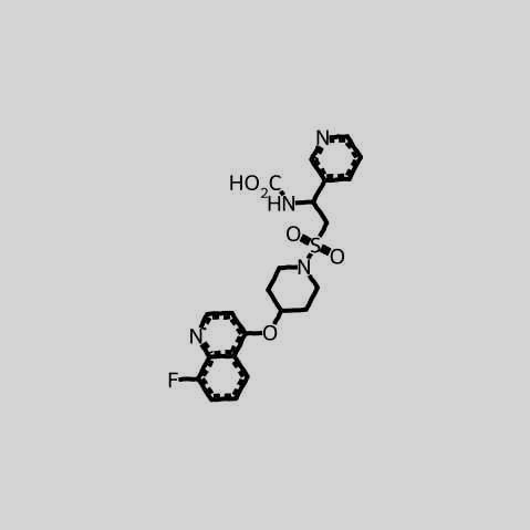 O=C(O)NC(CS(=O)(=O)N1CCC(Oc2ccnc3c(F)cccc23)CC1)c1cccnc1